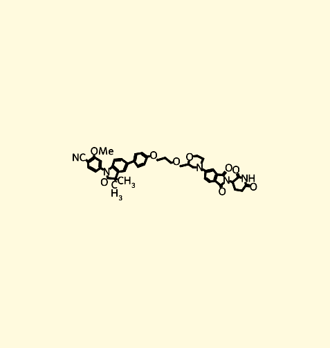 COc1cc(N2C(=O)C(C)(C)c3cc(-c4ccc(OCCCOCC5CN(c6ccc7c(c6)C(=O)N(C6CCC(=O)NC6=O)C7=O)CCO5)cc4)ccc32)ccc1C#N